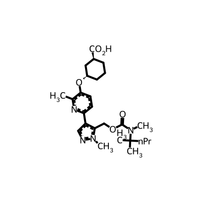 CCCC(C)(C)N(C)C(=O)OCc1c(-c2ccc(O[C@H]3CCC[C@H](C(=O)O)C3)c(C)n2)cnn1C